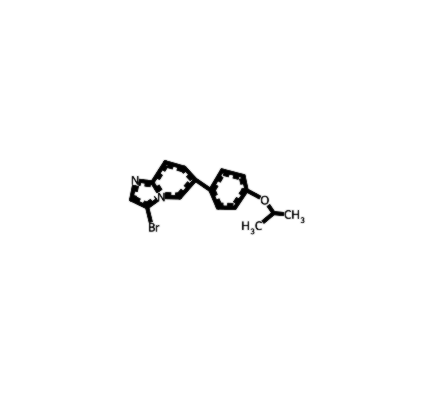 CC(C)Oc1ccc(-c2ccc3ncc(Br)n3c2)cc1